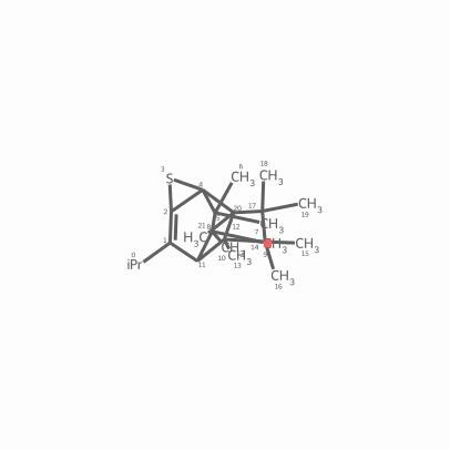 CC(C)C1=C2SC23C(C)(C)C(C)(C)C1C1(C)C(C)(C)C(C)(C)C31C